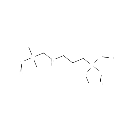 CCO[Si](C)(C)CNCCC[Si](OCC)(OCC)OCC